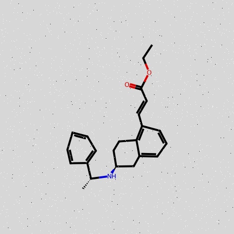 CCOC(=O)/C=C/c1cccc2c1CC[C@H](N[C@H](C)c1ccccc1)C2